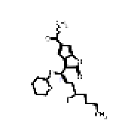 CCCCC(F)C/C=C(/OC1CCCCO1)C1=C2C=C(C(=O)OC)C=C2OC1=O